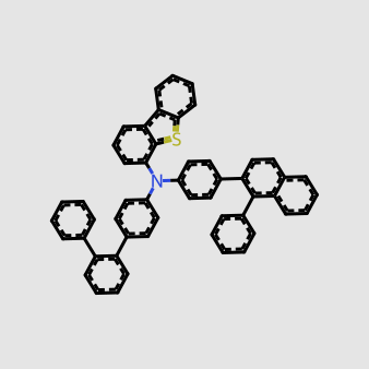 c1ccc(-c2ccccc2-c2ccc(N(c3ccc(-c4ccc5ccccc5c4-c4ccccc4)cc3)c3cccc4c3sc3ccccc34)cc2)cc1